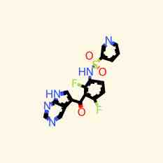 O=C(c1c(F)ccc(NS(=O)(=O)c2cccnc2)c1F)c1c[nH]c2ncncc12